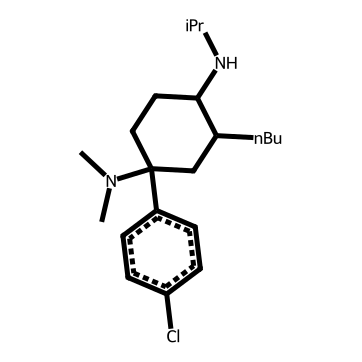 CCCCC1CC(c2ccc(Cl)cc2)(N(C)C)CCC1NC(C)C